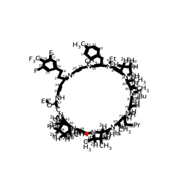 [2H]C1N2C(=CN(CC)C(Cc3ccc(C)cc3)=CN(C)C=CN=C(CCc3cc(F)c(C(F)(F)F)c(F)c3)C=CN[C@H](OCC)CN([2H])C([2H])([2H])C3(N([2H])C([2H])(C)[C@]([2H])([C@@H](C)CC)N4C([2H])(C)[C@@]([2H])(C)C4([2H])C([2H])([2H])N([2H])C([2H])(C)[C@]([2H])(CC(C)C)N([2H])C([2H])([2H])[C@]([2H])([C@@H](C)CC)N([2H])C([2H])(C)[C@]2([2H])C)C([2H])([2H])C([2H])([2H])C([2H])([2H])C3([2H])[2H])C([2H])([2H])C1([2H])[2H]